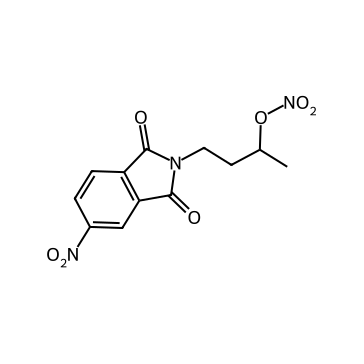 CC(CCN1C(=O)c2ccc([N+](=O)[O-])cc2C1=O)O[N+](=O)[O-]